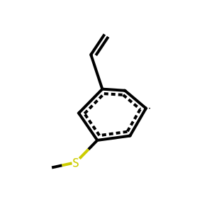 C=Cc1c[c]cc(SC)c1